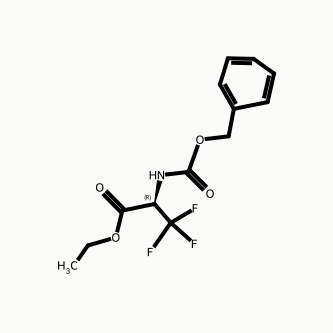 CCOC(=O)[C@@H](NC(=O)OCc1ccccc1)C(F)(F)F